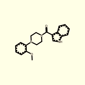 COc1ccccc1N1CCN(C(=O)c2c[nH]c3ccccc23)CC1